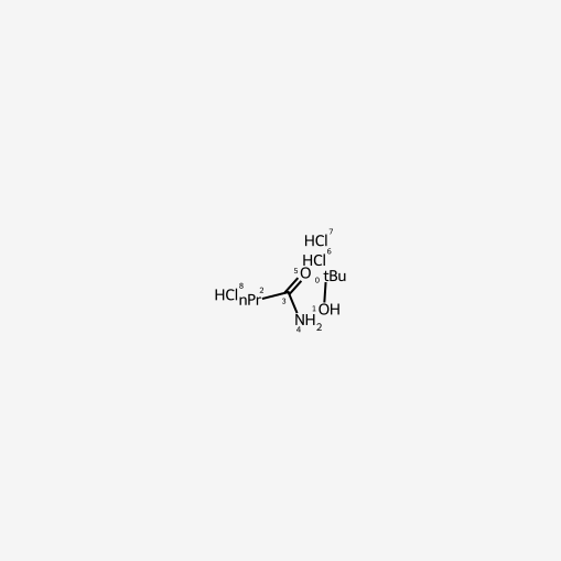 CC(C)(C)O.CCCC(N)=O.Cl.Cl.Cl